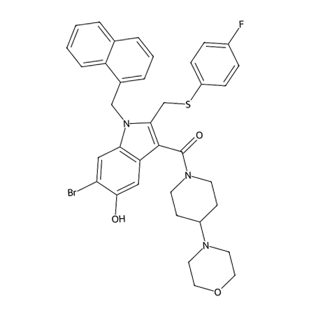 O=C(c1c(CSc2ccc(F)cc2)n(Cc2cccc3ccccc23)c2cc(Br)c(O)cc12)N1CCC(N2CCOCC2)CC1